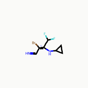 N=C/C(Br)=C(\NC1CC1)C(F)F